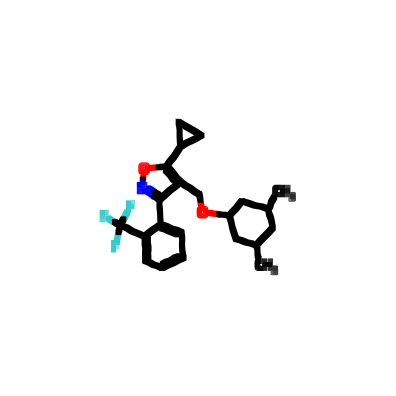 CC1CC(C)CC(OCc2c(-c3ccccc3C(F)(F)F)noc2C2CC2)C1